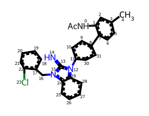 CC(=O)Nc1cc(C)ccc1-c1ccc(-n2c(=N)n(Cc3ccccc3Cl)c3ccccc32)cc1